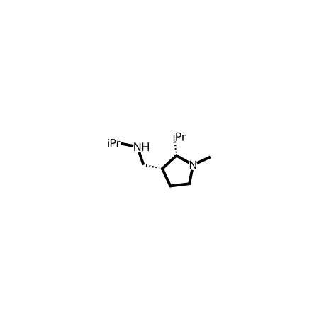 CC(C)NC[C@H]1CCN(C)[C@H]1C(C)C